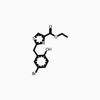 CCOC(=O)c1csc(Cc2cc(Br)ccc2O)n1